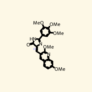 COc1ccc2cc(/C=C3\N=C(c4cc(OC)c(OC)c(OC)c4)NC3=O)c(OC)nc2c1